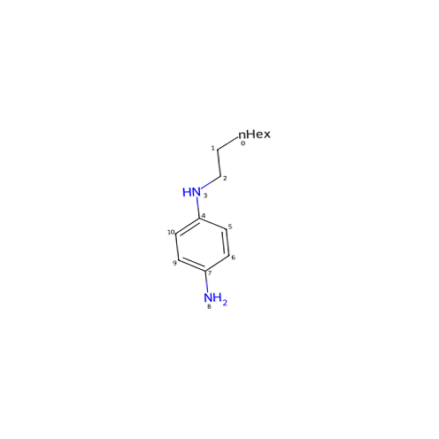 CCCCCCCCNc1ccc(N)cc1